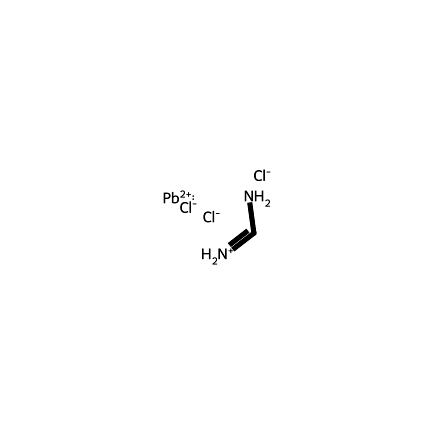 NC=[NH2+].[Cl-].[Cl-].[Cl-].[Pb+2]